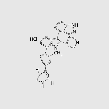 Cc1cc(N2C[C@@H]3C[C@H]2CN3)ccc1-c1ccnc2c(-c3cccc4[nH]ncc34)c(-c3ccncc3)nn12.Cl